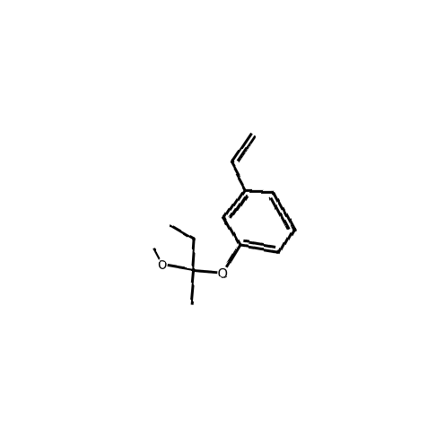 C=Cc1cccc(OC(C)(CC)OC)c1